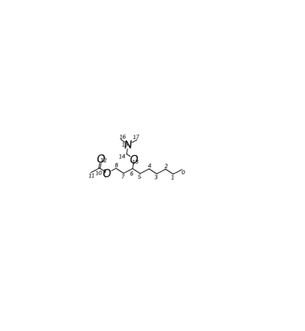 CCCCCCC(CCOC(C)=O)OCN(C)C